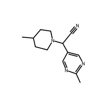 Cc1ncc(C(C#N)N2CCC(C)CC2)cn1